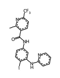 Cc1nc(C(F)(F)F)ccc1C(=O)Nc1ccc(I)c(Nc2ccccn2)c1